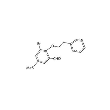 CSc1cc(Br)c(OCCc2cccnc2)c(C=O)c1